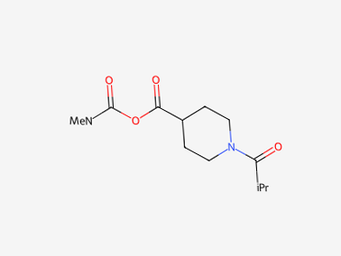 CNC(=O)OC(=O)C1CCN(C(=O)C(C)C)CC1